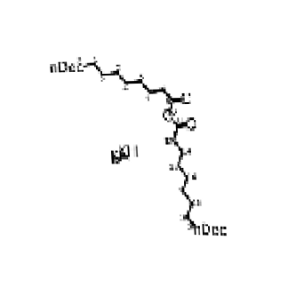 CCCCCCCCCCCCCCCCCC(=O)OC(=O)CCCCCCCCCCCCCCCCC.[KH].[KH]